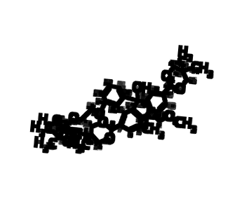 COCOc1ccc(C2OCC(C)(C)CO2)cc1C(O)(c1cccc(OCCO[Si](C)(C)C(C)(C)C)c1)c1cc(C2OCC(C)(C)CO2)ccc1OC